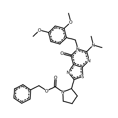 COc1ccc(Cn2c(N(C)C)nc3sc(C4CCCN4C(=O)OCc4ccccc4)nc3c2=O)c(OC)c1